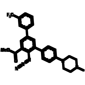 COC(=O)c1cc(-c2cccc(C(F)(F)F)c2)cc(-c2ccc(N3CCN(C)CC3)cc2)c1N=[N+]=[N-]